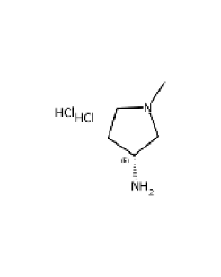 CN1CC[C@@H](N)C1.Cl.Cl